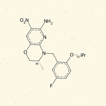 [CH2][C@@H](C)Oc1ccc(F)cc1CN1c2nc(N)c([N+](=O)[O-])cc2OC[C@H]1C